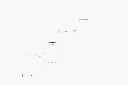 COC(=S)C(=O)Nc1ccc(OC)c(Br)c1